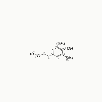 CCOCCc1cc(C(C)(C)C)c(O)c(C(C)(C)C)c1